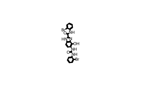 O=C(Nc1ccccc1Br)Nc1ccc2[nH]c(C(=O)Nc3ccccc3Br)nc2c1O